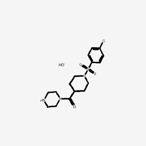 Cl.O=C(C1CCN(S(=O)(=O)c2ccc(Cl)cc2)CC1)N1CCNCC1